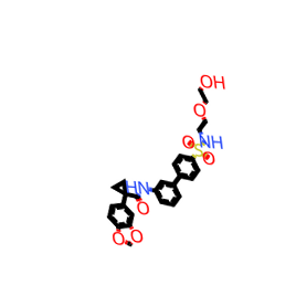 O=C(Nc1cccc(-c2ccc(S(=O)(=O)NCCOCCO)cc2)c1)C1(c2ccc3c(c2)OCO3)CC1